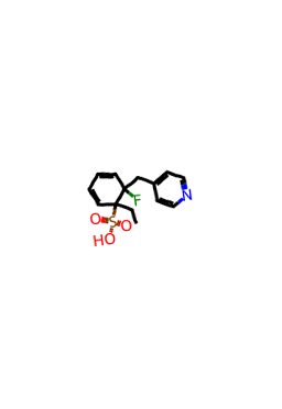 CCC1(S(=O)(=O)O)C=CC=CC1(F)Cc1ccncc1